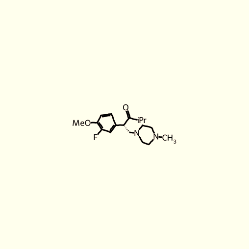 COc1ccc([C@@H](CN2CCN(C)CC2)C(=O)C(C)C)cc1F